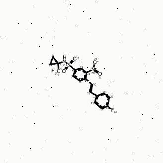 CC1(NS(=O)(=O)c2ccc(/C=C/c3ccc(F)cc3)c([N+](=O)[O-])c2)CC1